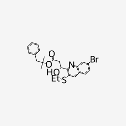 CCSc1cc2ccc(Br)cc2nc1C(O)CC(=O)OC(C)(C)Cc1ccccc1